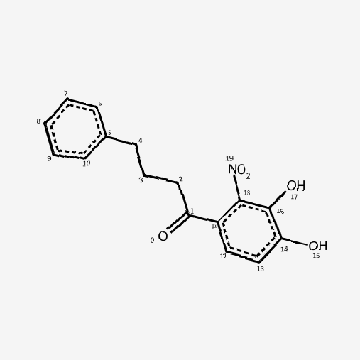 O=C(CCCc1ccccc1)c1ccc(O)c(O)c1[N+](=O)[O-]